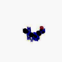 CN1CCN([C@H]2CC[C@@H](n3nc(-c4ccc5nc(-c6ccccc6)[nH]c5c4)c4c(N)ncnc43)CC2)CC1=O